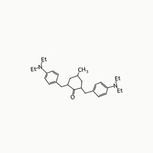 CCN(CC)c1ccc(CC2CC(C)CC(Cc3ccc(N(CC)CC)cc3)C2=O)cc1